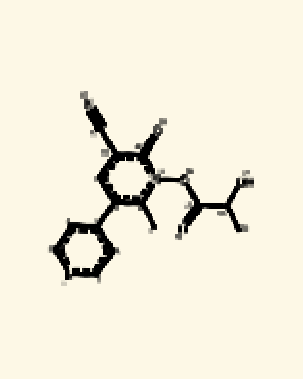 Cc1c(-c2ccncc2)cc(C#N)c(=O)n1OC(=O)C(C)O